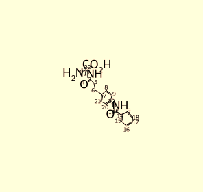 NC(NC(=O)CCc1ccc(NC(=O)c2ccccc2)cc1)C(=O)O